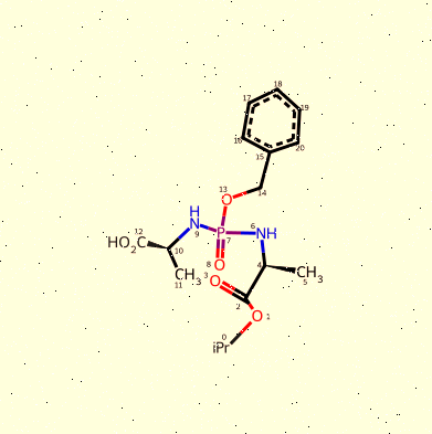 CC(C)OC(=O)[C@H](C)NP(=O)(N[C@@H](C)C(=O)O)OCc1ccccc1